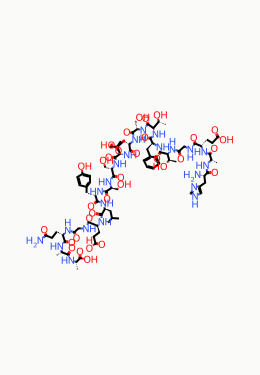 CC(C)C[C@H](NC(=O)[C@H](Cc1ccc(O)cc1)NC(=O)[C@H](CO)NC(=O)[C@H](CO)NC(=O)[C@@H](NC(=O)[C@H](CC(=O)O)NC(=O)[C@H](CO)NC(=O)[C@@H](NC(=O)[C@H](Cc1ccccc1)NC(=O)[C@@H](NC(=O)CNC(=O)[C@H](CCC(=O)O)NC(=O)[C@H](C)NC(=O)[C@@H](N)Cc1c[nH]cn1)[C@@H](C)O)[C@@H](C)O)C(C)C)C(=O)N[C@@H](CCC(=O)O)C(=O)NCC(=O)N[C@@H](CCC(N)=O)C(=O)N[C@@H](C)C(=O)N[C@@H](C)C(=O)O